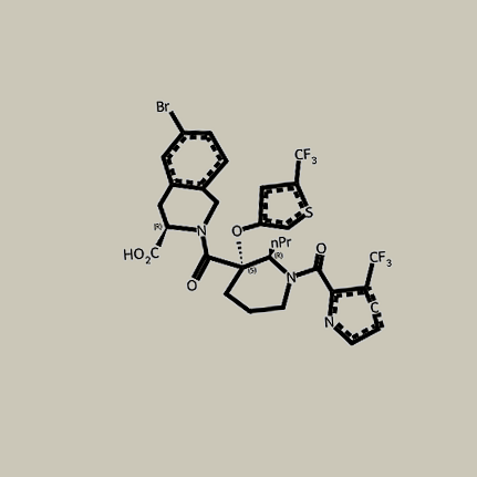 CCC[C@H]1N(C(=O)c2ncccc2C(F)(F)F)CCC[C@@]1(Oc1csc(C(F)(F)F)c1)C(=O)N1Cc2ccc(Br)cc2C[C@@H]1C(=O)O